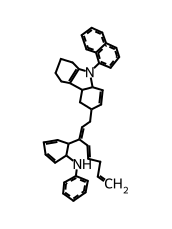 C=CC/C=C/C(=C\CC1C=CC2C(C1)C1=C(CCCC1)N2c1cccc2ccccc12)C1C=CC=CC1Nc1ccccc1